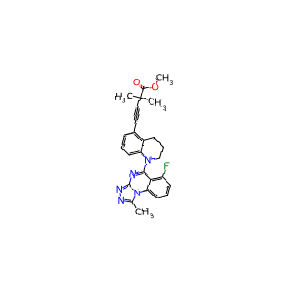 COC(=O)C(C)(C)C#Cc1cccc2c1CCCN2c1nc2nnc(C)n2c2cccc(F)c12